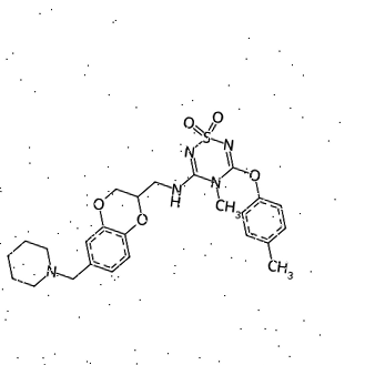 Cc1ccc(OC2=NS(=O)(=O)N=C(NCC3COc4cc(CN5CCCCC5)ccc4O3)N2C)cc1